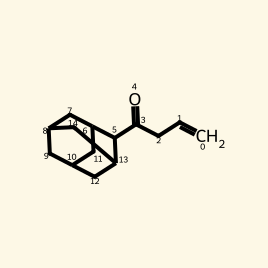 C=CCC(=O)C1C2CC3CC(C2)CC1C3